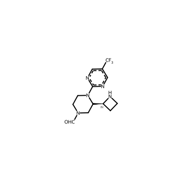 O=CN1CCN(c2ncc(C(F)(F)F)cn2)C([C@@H]2CCN2)C1